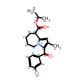 Cc1cc2n(c1C(=O)c1cccc(Cl)c1)CCCCC2C(=O)OC(C)C